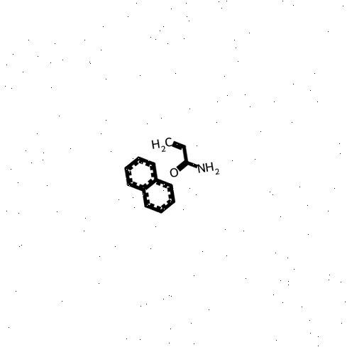 C=CC(N)=O.c1ccc2ccccc2c1